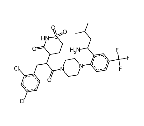 CC(C)CC(N)c1cc(C(F)(F)F)ccc1N1CCN(C(=O)C(Cc2ccc(Cl)cc2Cl)C2CCS(=O)(=O)NC2=O)CC1